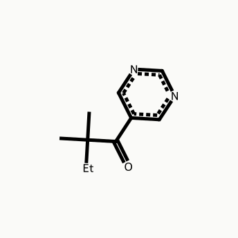 CCC(C)(C)C(=O)c1cncnc1